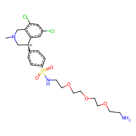 CN1Cc2c(Cl)cc(Cl)cc2[C@@H](c2ccc(S(=O)(=O)NCCOCCOCCOCCN)cc2)C1